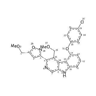 COCc1cc(-c2ncc3[nH]c4cccc(Oc5ccc(Cl)cc5)c4c3c2COC)no1